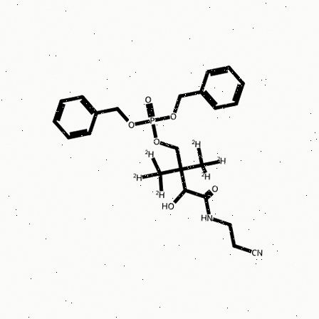 [2H]C([2H])([2H])C(COP(=O)(OCc1ccccc1)OCc1ccccc1)(C(O)C(=O)NCCC#N)C([2H])([2H])[2H]